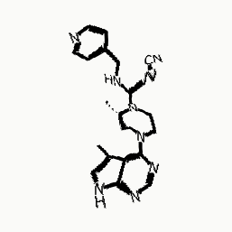 Cc1c[nH]c2ncnc(N3CCN(/C(=N/C#N)NCc4ccncc4)[C@@H](C)C3)c12